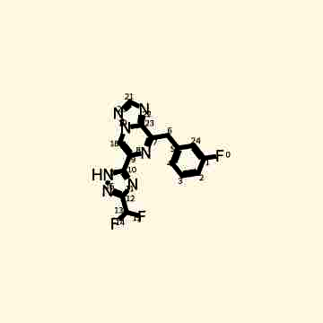 Fc1cccc(Cc2nc(-c3nc(C(F)F)n[nH]3)cn3ncnc23)c1